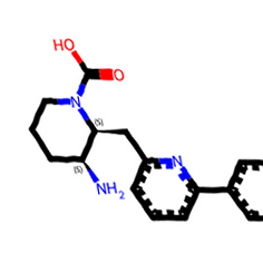 N[C@H]1CCCN(C(=O)O)[C@H]1Cc1cccc(-c2ccccc2)n1